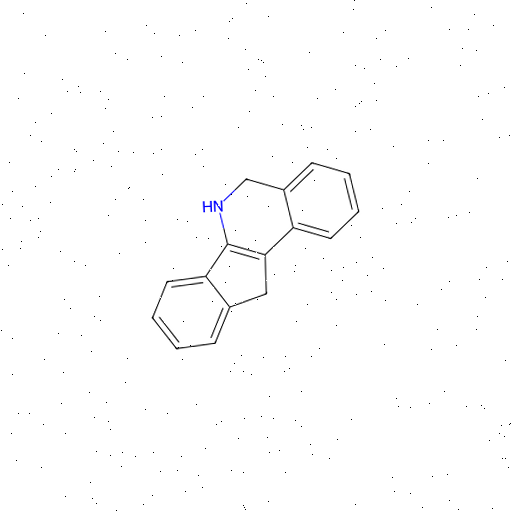 c1ccc2c(c1)CNC1=C2Cc2ccccc21